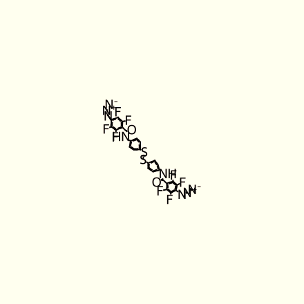 [N-]=[N+]=Nc1c(F)c(F)c(C(=O)Nc2ccc(SSc3ccc(NC(=O)c4c(F)c(F)c(N=[N+]=[N-])c(F)c4F)cc3)cc2)c(F)c1F